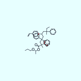 C=Cc1ccc(C(CC(C)(CC)c2ccccc2)CC(CC(C)(C(=O)OC)C(=O)OC(C)OCCC)(c2ccccc2)c2ccccc2)cc1